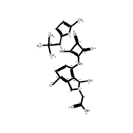 Cc1ccc([C@H](Nc2c(Nc3ccc(Cl)c4c3C(O)N(CC(=O)O)C4)c(=O)c2=O)C(C)(C)C)o1